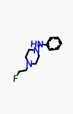 FCCN1CCN(Nc2ccccc2)CC1